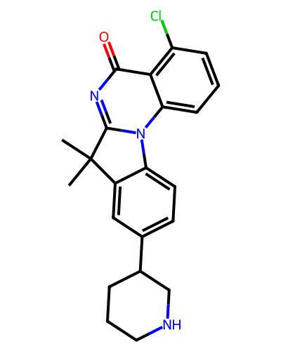 CC1(C)c2cc(C3CCCNC3)ccc2-n2c1nc(=O)c1c(Cl)cccc12